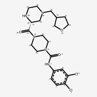 O=C(Nc1ccc(Cl)c(Cl)c1)N1CCN(C(=O)[C@H]2CN(CC3CCOC3)CCN2)CC1